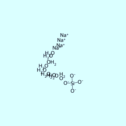 O.O.O.O.O.O.O.O.O.[Na+].[Na+].[Na+].[Na+].[O-][Si]([O-])([O-])[O-]